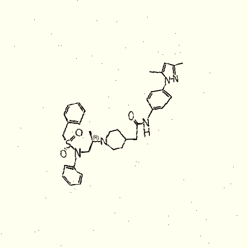 Cc1cc(C)n(-c2ccc(NC(=O)CC3CCN([C@H](C)CN(c4ccccc4)S(=O)(=O)Cc4ccccc4)CC3)cc2)n1